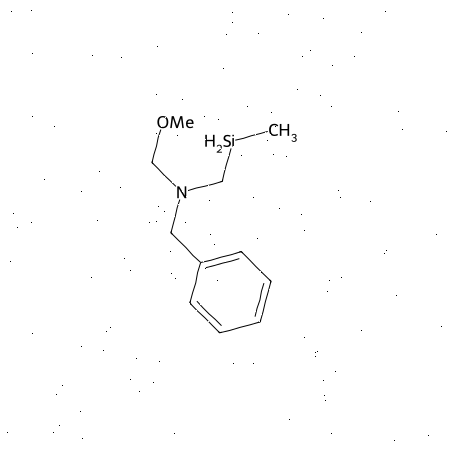 COCN(C[SiH2]C)Cc1ccccc1